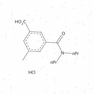 CCCN(CCC)C(=O)c1cc(C)cc(C(=O)O)c1.Cl